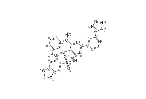 [CH2]COc1nc(-c2ccnc(-c3nnn[nH]3)c2)nc(NS(=O)(=O)c2ccc3c(c2)OCO3)c1Oc1ccccc1OC